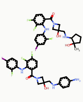 CC1(O)CCCC1NCC1(O)CN(C(=O)c2ccc(F)c(F)c2Nc2ccc(I)cc2F)C1.Nc1ccc(NCC2(O)CN(C(=O)c3ccc(F)c(F)c3Nc3ccc(I)cc3F)C2)cc1